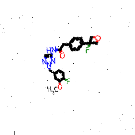 COc1cc(Cn2ncc(NC(=O)Cc3ccc(C4(F)COC4)cc3)n2)ccc1F